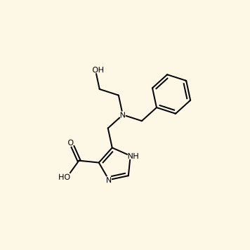 O=C(O)c1nc[nH]c1CN(CCO)Cc1ccccc1